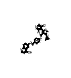 Oc1ccnc2ccc(OCC34CCC(OCc5c(-c6c(Cl)cncc6Cl)noc5C5CC5)(CC3)CC4)cc12